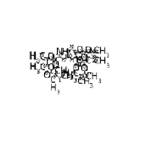 CCC(C)(C)C(=O)OC(C)C(C)OC(=O)[C@@H](N)Cc1ccc(OC(=O)O[C@@H](C)C(C)C)c(OC(=O)OC(C)C(C)C)c1